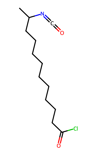 CC(CCCCCCCCCC(=O)Cl)N=C=O